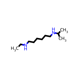 CCNCCCCCCNC(C)C